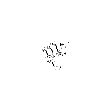 CC(=O)O.CC(=O)O.CC(=O)O.CC(=O)O.N.[Zr]